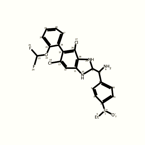 CC[S+]([O-])c1ccc(C(N)C2Nc3cc(Cl)c(-c4ccccc4OC(F)F)c(Cl)c3N2)cc1